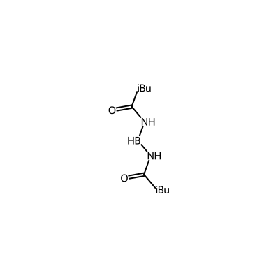 CCC(C)C(=O)NBNC(=O)C(C)CC